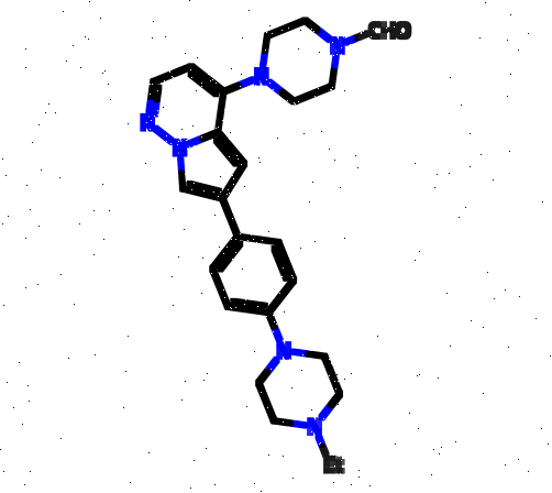 CCN1CCN(c2ccc(-c3cc4c(N5CCN(C=O)CC5)ccnn4c3)cc2)CC1